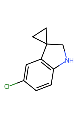 Clc1ccc2c(c1)C1(CC1)CN2